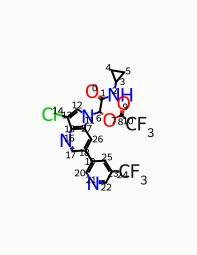 O=C(NC1CC1)C(OC(=O)C(F)(F)F)n1cc(Cl)c2ncc(-c3cncc(C(F)(F)F)c3)cc21